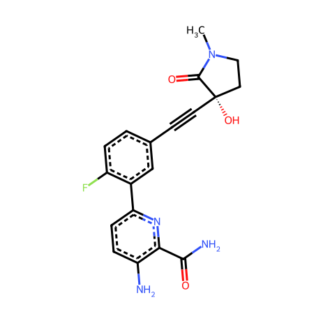 CN1CC[C@@](O)(C#Cc2ccc(F)c(-c3ccc(N)c(C(N)=O)n3)c2)C1=O